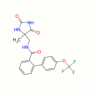 CC1(CNC(=O)c2ccccc2-c2ccc(OC(F)(F)F)cc2)NC(=O)NC1=O